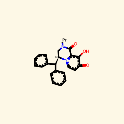 CC(C)N1C[C@H](C(c2ccccc2)c2ccccc2)n2ccc(=O)c(O)c2C1=O